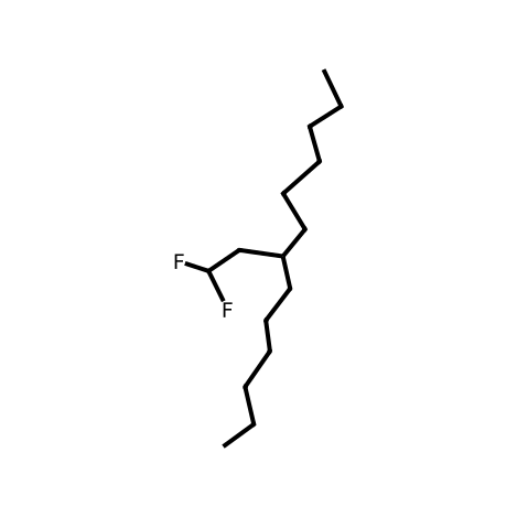 CCCCCCC(CCCCCC)CC(F)F